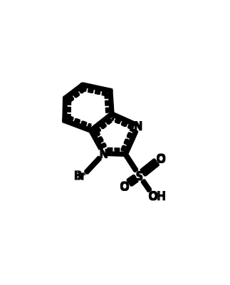 O=S(=O)(O)c1nc2ccccc2n1Br